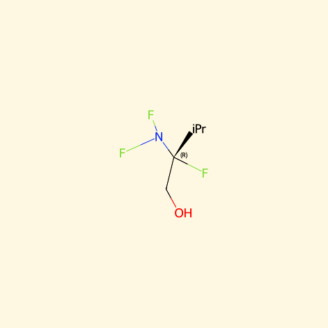 CC(C)[C@@](F)(CO)N(F)F